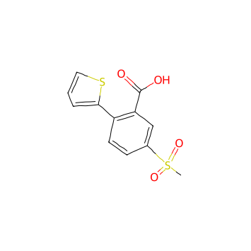 CS(=O)(=O)c1ccc(-c2cccs2)c(C(=O)O)c1